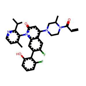 C=CC(=O)N1CCN(c2cc(=O)n(-c3c(C)ccnc3C(C)C)c3cc(-c4c(O)cccc4F)c(F)cc23)CC1C